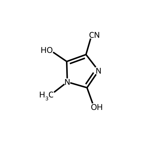 Cn1c(O)nc(C#N)c1O